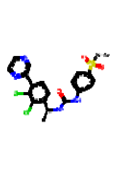 CC(=O)NS(=O)(=O)c1ccc(NC(=O)N[C@@H](C)c2ccc(-c3cnccn3)c(Cl)c2Cl)cc1